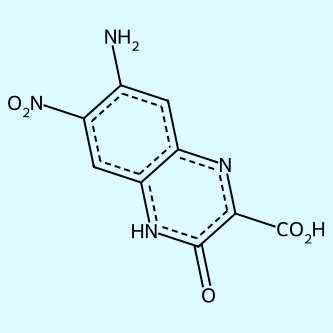 Nc1cc2nc(C(=O)O)c(=O)[nH]c2cc1[N+](=O)[O-]